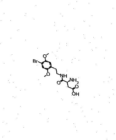 COc1cc(CCNC(=O)[C@@H](N)CC(=O)O)c(OC)cc1Br